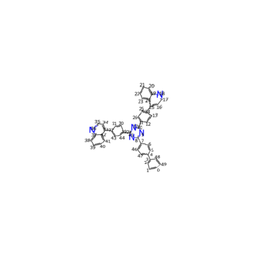 c1ccc(-c2ccc(-c3nc(-c4ccc(-c5ccnc6ccccc56)cc4)nc(-c4ccc(-c5ccnc6ccccc56)cc4)n3)cc2)cc1